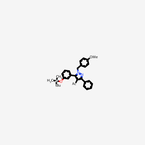 COc1ccc(Cn2nc(-c3ccccc3)c(C(C)=O)c2-c2cccc(O[Si](C)(C)C(C)(C)C)c2)cc1